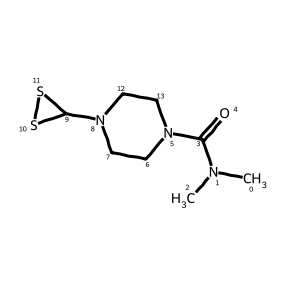 CN(C)C(=O)N1CCN(C2SS2)CC1